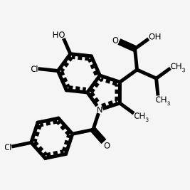 Cc1c(C(C(=O)O)C(C)C)c2cc(O)c(Cl)cc2n1C(=O)c1ccc(Cl)cc1